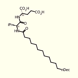 CCCCCCCCCCCCCCCCCCCCCC(=O)N[C@H](C(=O)N[C@@H](CCC(=O)O)C(=O)O)C(C)C